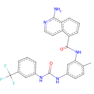 Cc1ccc(NC(=O)Nc2cccc(C(F)(F)F)c2)cc1NC(=O)c1cccc2c(N)nccc12